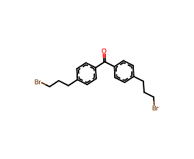 O=C(c1ccc(CCCBr)cc1)c1ccc(CCCBr)cc1